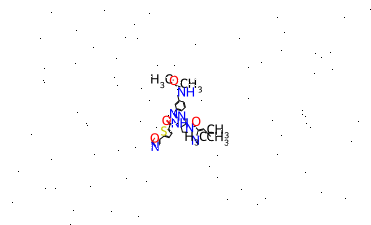 COCC(C)NCc1ccc2c(c1)nc(NC(=O)c1ccc(-c3cnco3)s1)n2CC1CCCN1C(=O)C(C#N)=CC(C)(C)C